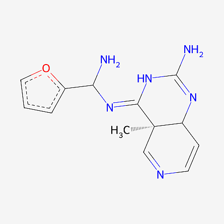 C[C@@]12C=NC=CC1N=C(N)N/C2=N\C(N)c1ccco1